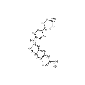 CCNC(=O)Nc1nc2nc(Nc3ccc(N4CCN(C(C)=O)CC4)cc3)ncc2cc1F